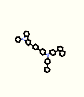 c1ccc(-c2ccc(N(c3ccc(-c4ccc(-c5ccc6c(c5)c5ccccc5n6-c5ccccc5)cc4)cc3)c3ccc(-c4cccc5ccccc45)cc3)cc2)cc1